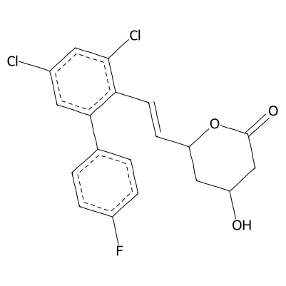 O=C1CC(O)CC(C=Cc2c(Cl)cc(Cl)cc2-c2ccc(F)cc2)O1